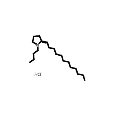 CCCCCCCCCCCC=C1CCCN1CCCC.Cl